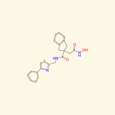 O=C(CC1(C(=O)NCc2nc(-c3ccccc3)cs2)Cc2ccccc2C1)NO